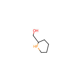 OCC1CCCCP1